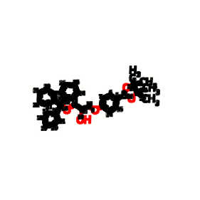 CC1(C)OB(c2ccc(OC[C@@H](O)COC(c3ccccc3)(c3ccccc3)c3ccccc3)cc2)OC1(C)C